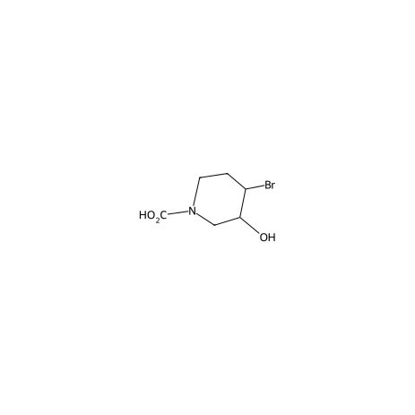 O=C(O)N1CCC(Br)C(O)C1